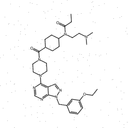 CCOc1cccc(Cn2ncc3c(N4CCN(C(=O)C5CCC(N(CCN(C)C)C(=O)CC)CC5)CC4)ncnc32)c1